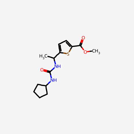 COC(=O)c1ccc(C(C)NC(=O)NC2CCCC2)s1